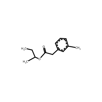 CCC(C)OC(=O)Cc1cccc(C)c1